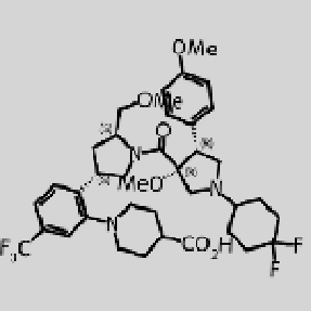 COC[C@@H]1C[C@@H](c2ccc(C(F)(F)F)cc2N2CCC(C(=O)O)CC2)CN1C(=O)[C@]1(OC)CN(C2CCC(F)(F)CC2)C[C@H]1c1ccc(OC)cc1